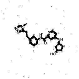 Cn1cnnc1CCc1cccc(NC(=O)c2cc(NC3CCC(O)C3)ccn2)c1